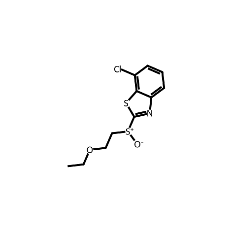 CCOCC[S+]([O-])c1nc2cccc(Cl)c2s1